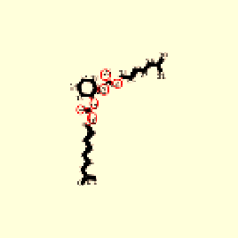 CC(C)CCCCCCCOC(=O)OC1CCCCC1OC(=O)OCCCCCC(C)C